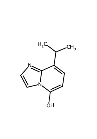 CC(C)c1ccc(O)n2ccnc12